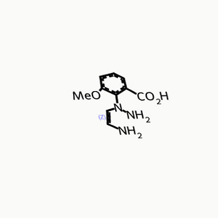 COc1cccc(C(=O)O)c1N(N)/C=C\N